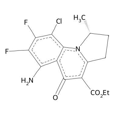 CCOC(=O)c1c2n(c3c(Cl)c(F)c(F)c(N)c3c1=O)[C@H](C)CC2